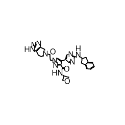 O=C(NC1COC1)c1nn(CC(=O)N2CCc3[nH]nnc3C2)cc1-c1cnc(NC2Cc3ccccc3C2)nc1